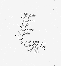 COC1CC(OC2CCC3(C)C(=CCC4(O)C3C(O)C(O)C3(C)CC(O)(C(C)=O)CC34O)C2)OC(C)C1OC1CC(OC)C(OC2OC(C)C(O)C(OC)C2O)C(C)O1